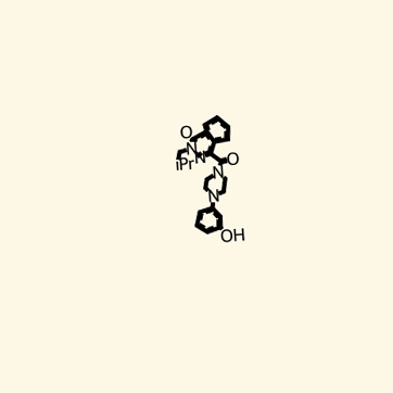 CC(C)Cn1nc(C(=O)N2CCN(c3cccc(O)c3)CC2)c2ccccc2c1=O